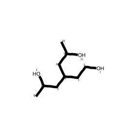 [CH2]C(O)CC(CCO)CC(C)O